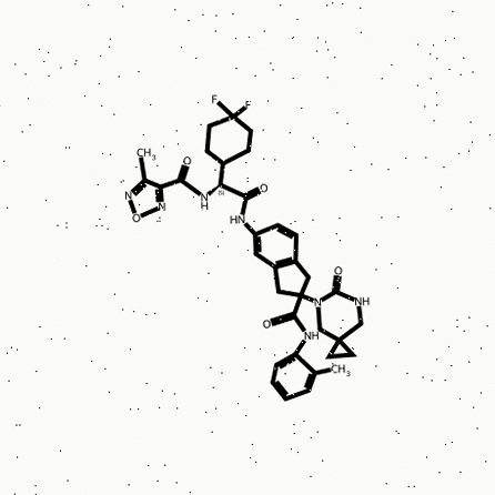 Cc1ccccc1NC(=O)C1(N2CC3(CC3)CNC2=O)Cc2ccc(NC(=O)[C@@H](NC(=O)c3nonc3C)C3CCC(F)(F)CC3)cc2C1